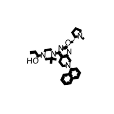 C=CC(O)N1CCN(c2nc(OC[C@@H]3CCCN3C)nc3c2CCN(c2cccc4ccccc24)C3)C(C)(C)C1